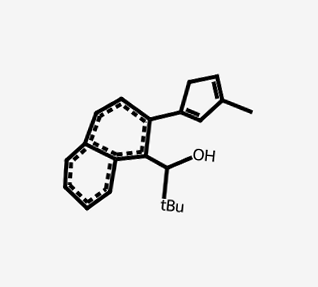 CC1=CCC(c2ccc3ccccc3c2C(O)C(C)(C)C)=C1